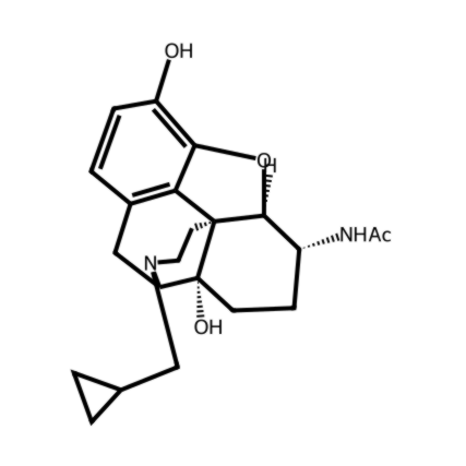 CC(=O)N[C@@H]1CC[C@@]2(O)C3Cc4ccc(O)c5c4[C@@]2(CCN3CC2CC2)[C@H]1O5